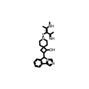 CN/C(C)=C(/SN1CCC2(CC1)CC(C1c3ccccc3-c3cncn31)C2O)C(C)=N